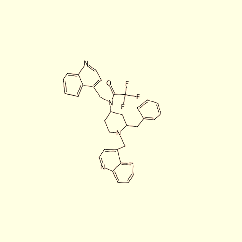 O=C(N(Cc1ccnc2ccccc12)C1CCN(Cc2ccnc3ccccc23)C(Cc2ccccc2)C1)C(F)(F)F